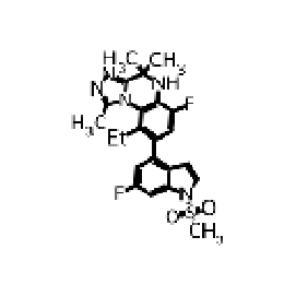 CCc1c(-c2cc(F)cc3c2ccn3S(C)(=O)=O)cc(F)c2c1-n1c(C)nnc1C(C)(C)N2